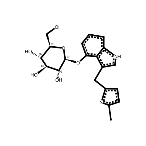 Cc1ccc(Cc2c[nH]c3cccc(O[C@@H]4O[C@H](CO)[C@@H](O)[C@H](O)[C@H]4O)c23)s1